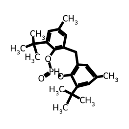 Cc1cc2c(c(C(C)(C)C)c1)O[PH](=O)Oc1c(cc(C)cc1C(C)(C)C)C2